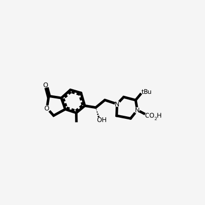 Cc1c([C@@H](O)CN2CCN(C(=O)O)C(C(C)(C)C)C2)ccc2c1COC2=O